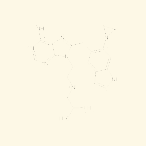 CC(C)CNCCn1c(Sc2cc3cc[nH]c3cc2N2CC2)nc2c(N)ncnc21